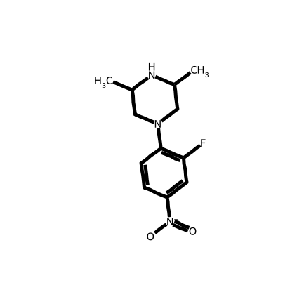 CC1CN(c2ccc([N+](=O)[O-])cc2F)CC(C)N1